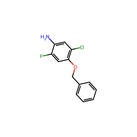 Nc1cc(Cl)c(OCc2ccccc2)cc1F